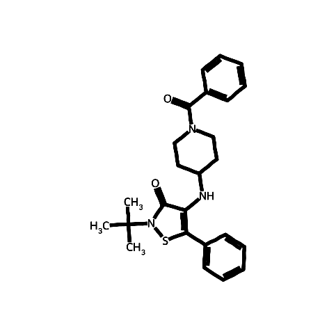 CC(C)(C)n1sc(-c2ccccc2)c(NC2CCN(C(=O)c3ccccc3)CC2)c1=O